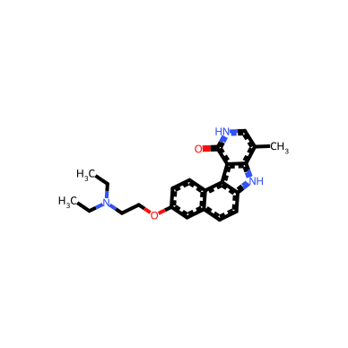 CCN(CC)CCOc1ccc2c(ccc3[nH]c4c(C)c[nH]c(=O)c4c32)c1